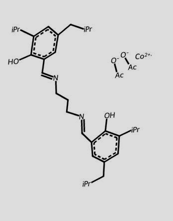 CC(=O)[O-].CC(=O)[O-].CC(C)Cc1cc(C=NCCCN=Cc2cc(CC(C)C)cc(C(C)C)c2O)c(O)c(C(C)C)c1.[Co+2]